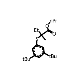 CCCOC(=O)C(C)(CC)Sc1cc(C(C)(C)C)cc(C(C)(C)C)c1